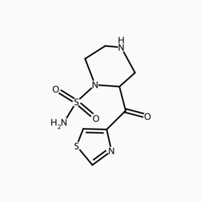 NS(=O)(=O)N1CCNCC1C(=O)c1cscn1